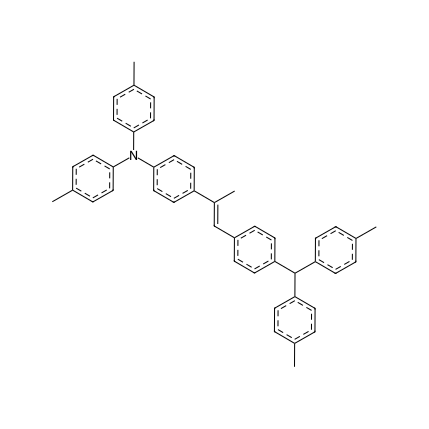 C/C(=C\c1ccc(C(c2ccc(C)cc2)c2ccc(C)cc2)cc1)c1ccc(N(c2ccc(C)cc2)c2ccc(C)cc2)cc1